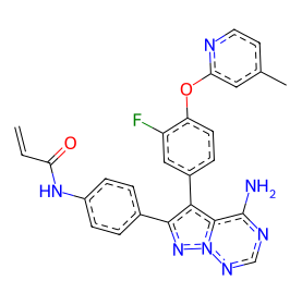 C=CC(=O)Nc1ccc(-c2nn3ncnc(N)c3c2-c2ccc(Oc3cc(C)ccn3)c(F)c2)cc1